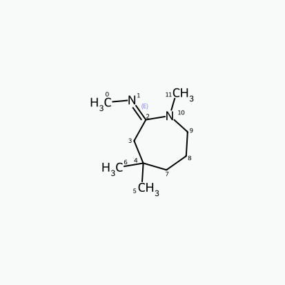 C/N=C1\CC(C)(C)CCCN1C